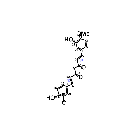 COc1ccc(/C=C/C(=O)CC(=O)/C=C/c2ccc(O)c(Cl)c2)cc1O